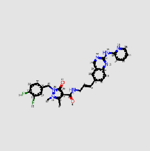 Cc1c(C(=O)NCC=Cc2ccc3nc(Nc4ccccn4)ncc3c2)c(=O)n(Cc2ccc(F)c(F)c2)n1C